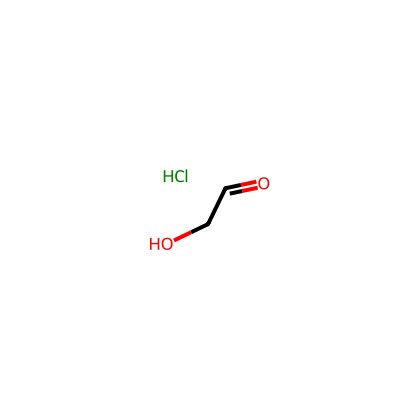 Cl.O=CCO